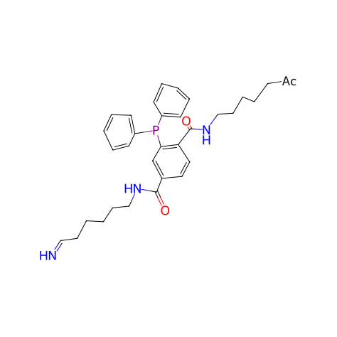 CC(=O)CCCCCNC(=O)c1ccc(C(=O)NCCCCCC=N)cc1P(c1ccccc1)c1ccccc1